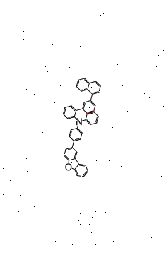 c1ccc(N(c2ccc(-c3ccc4oc5ccccc5c4c3)cc2)c2ccccc2-c2cccc(-c3cccc4ccccc34)c2)cc1